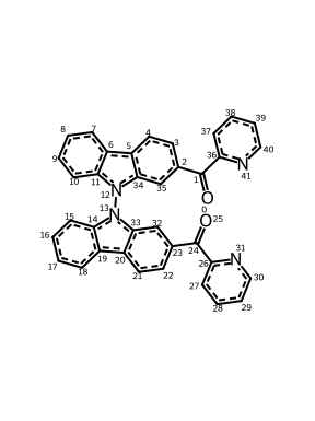 O=C(c1ccc2c3ccccc3n(-n3c4ccccc4c4ccc(C(=O)c5ccccn5)cc43)c2c1)c1ccccn1